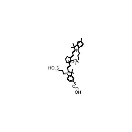 Cc1ccc2c(c1)C(C)(C)/C(=C/C=C1\CCCC(/C=C/C3=[N+](CCCS(=O)(=O)O)c4ccc(SOOO)cc4C3(C)C)=C1Cl)N2CCCS(=O)(=O)O